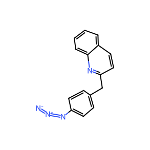 [N-]=[N+]=Nc1ccc(Cc2ccc3ccccc3n2)cc1